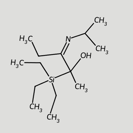 CCC(=NC(C)C)C(C)(O)[Si](CC)(CC)CC